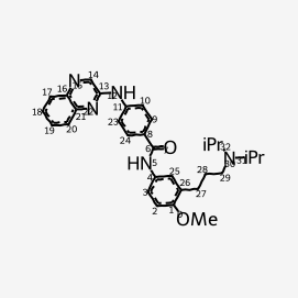 COc1ccc(NC(=O)c2ccc(Nc3cnc4ccccc4n3)cc2)cc1CCCN(C(C)C)C(C)C